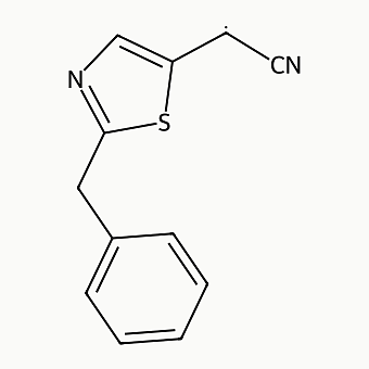 N#C[CH]c1cnc(Cc2ccccc2)s1